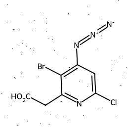 [N-]=[N+]=Nc1cc(Cl)nc(CC(=O)O)c1Br